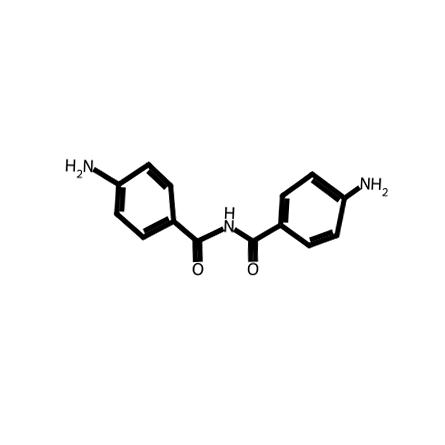 Nc1ccc(C(=O)NC(=O)c2ccc(N)cc2)cc1